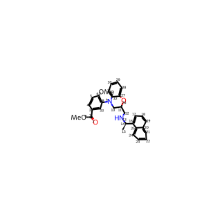 COC(=O)c1ccc(OC)c(N2CC(CN[C@H](C)c3cccc4ccccc34)Oc3ccccc32)c1